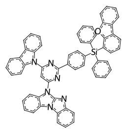 c1ccc([Si](c2ccccc2)(c2ccc(-c3nc(-n4c5ccccc5c5ccccc54)cc(-n4c5ccccc5n5c6ccccc6nc45)n3)cc2)c2cccc3c2oc2ccccc23)cc1